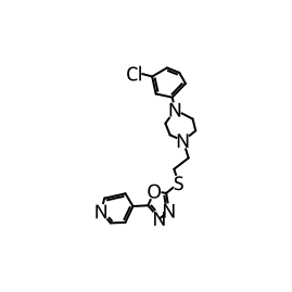 Clc1cccc(N2CCN(CCSc3nnc(-c4ccncc4)o3)CC2)c1